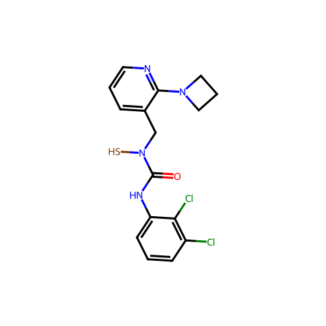 O=C(Nc1cccc(Cl)c1Cl)N(S)Cc1cccnc1N1CCC1